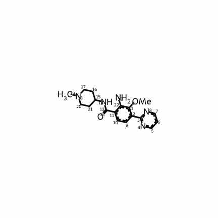 COc1c(-c2ncccn2)ccc(C(=O)NC2CCN(C)CC2)c1N